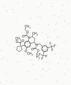 CCOC(=O)N1c2cc(C3(C(=O)OC)CCCC3)c(OC)cc2C(N(Cc2cc(C(F)(F)F)cc(C(F)(F)F)c2)C(=O)OC)CC1C